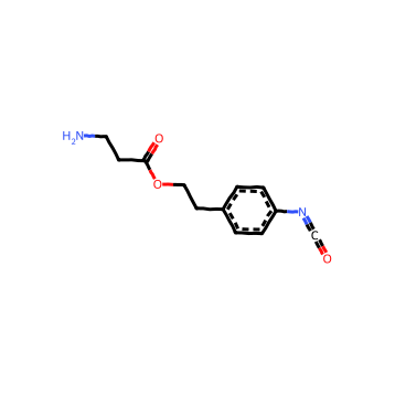 NCCC(=O)OCCc1ccc(N=C=O)cc1